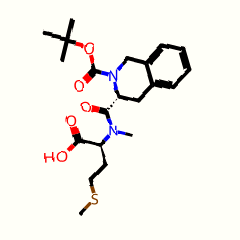 CSCC[C@@H](C(=O)O)N(C)C(=O)[C@H]1Cc2ccccc2CN1C(=O)OC(C)(C)C